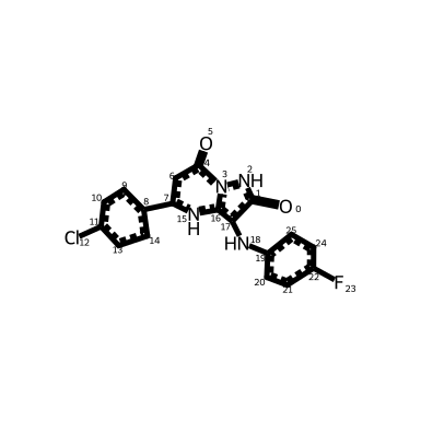 O=c1[nH]n2c(=O)cc(-c3ccc(Cl)cc3)[nH]c2c1Nc1ccc(F)cc1